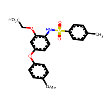 COc1ccc(Oc2ccc(NS(=O)(=O)c3ccc(C)cc3)c(OCC(=O)O)c2)cc1